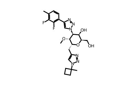 CO[C@@H]1[C@@H](n2cc(-c3ccc(C)c(F)c3F)nn2)[C@@H](O)[C@@H](CO)O[C@@H]1Cc1cn(C2(C)CCC2)nn1